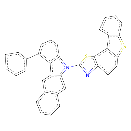 c1ccc(-c2cccc3c2c2cc4ccccc4cc2n3-c2nc3ccc4sc5ccccc5c4c3s2)cc1